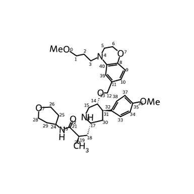 COCCCN1CCOc2ccc(CO[C@H]3CN[C@@H](C[C@@H](C)C(=O)NC4CCOCC4)C[C@@H]3c3ccc(OC)cc3)cc21